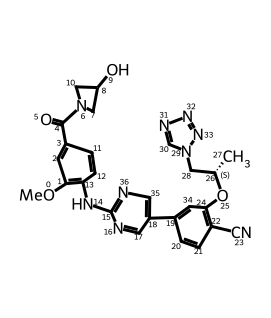 COc1cc(C(=O)N2CC(O)C2)ccc1Nc1ncc(-c2ccc(C#N)c(O[C@@H](C)Cn3cnnn3)c2)cn1